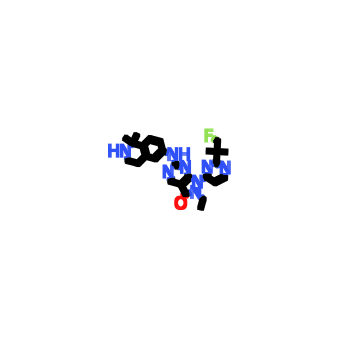 CCn1c(=O)c2cnc(Nc3ccc4c(c3)CCNC4(C)C)nc2n1-c1ccnc(C(C)(C)CF)n1